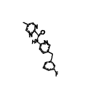 Cc1cnc(C(=O)Nc2ccc(Cc3cccc(F)c3)cn2)nc1